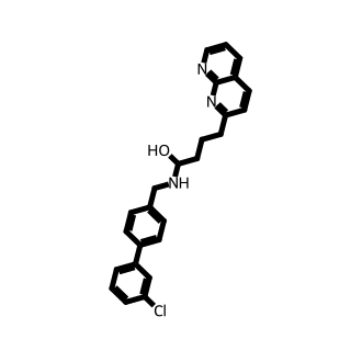 OC(CCCc1ccc2cccnc2n1)NCc1ccc(-c2cccc(Cl)c2)cc1